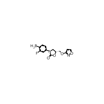 Bc1ccc(N2C[C@H](COc3ccon3)OC2=O)cc1F